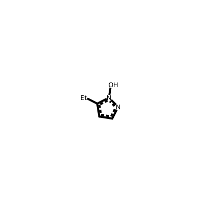 CCc1ccnn1O